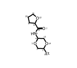 CCC1COC(NC(=O)C2CCCO2)CO1